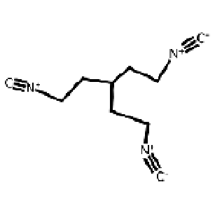 [C-]#[N+]CCC(CC[N+]#[C-])CC[N+]#[C-]